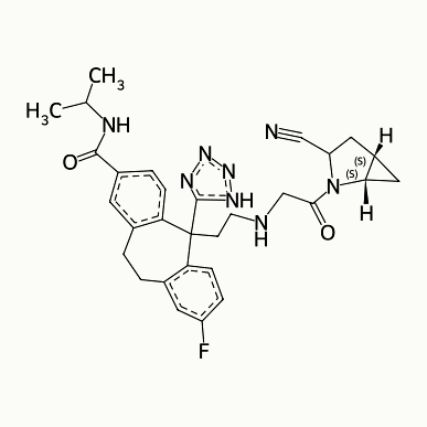 CC(C)NC(=O)c1ccc2c(c1)CCc1cc(F)ccc1C2(CCNCC(=O)N1C(C#N)C[C@@H]2C[C@@H]21)c1nnn[nH]1